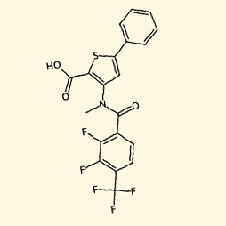 CN(C(=O)c1ccc(C(F)(F)F)c(F)c1F)c1cc(-c2ccccc2)sc1C(=O)O